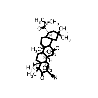 CN(C)C(=O)[C@@H]1CC(C)(C)CC2C1CC[C@]1(C)C2C(=O)C[C@@H]2[C@@]3(C)C=C(C#N)C(=O)C(C)(C)[C@@H]3CC[C@]21C